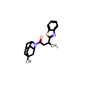 CC(CC(=O)N1C2CC3CC1CC(C#N)(C3)C2)c1nc2ccccc2s1